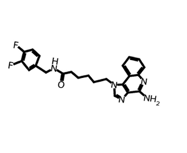 Nc1nc2ccccc2c2c1ncn2CCCCCC(=O)NCc1ccc(F)c(F)c1